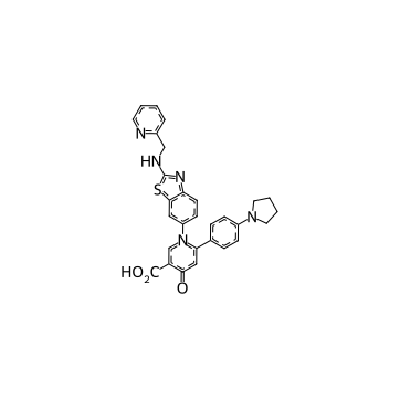 O=C(O)c1cn(-c2ccc3nc(NCc4ccccn4)sc3c2)c(-c2ccc(N3CCCC3)cc2)cc1=O